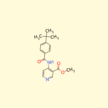 COC(=O)c1cnccc1NC(=O)c1ccc(C(C)(C)C)cc1